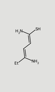 CC/C(N)=C/C=C(\N)S